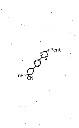 CCCCCC1CSC(c2ccc(C3CCC(C#N)(CCC)CC3)cc2)SC1